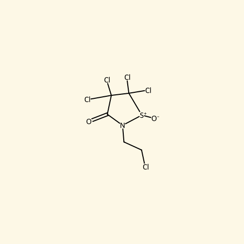 O=C1N(CCCl)[S+]([O-])C(Cl)(Cl)C1(Cl)Cl